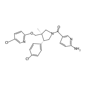 C[C@]1(COc2ccc(Cl)cn2)CN(C(=O)c2ccc(N)nc2)C[C@@H]1c1ccc(Cl)cc1